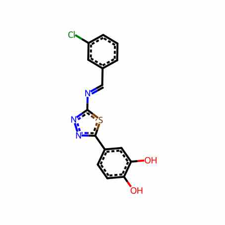 Oc1ccc(-c2nnc(N=Cc3cccc(Cl)c3)s2)cc1O